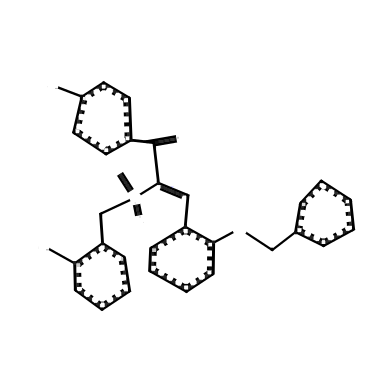 O=C(/C(=C/c1ccccc1OCc1ccccc1)S(=O)(=O)Cc1ccccc1Cl)c1ccc(Cl)cc1